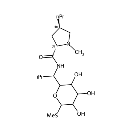 CCC[C@@H]1C[C@@H](C(=O)NC(C(C)C)C2OC(SC)C(O)C(O)C2O)N(C)C1